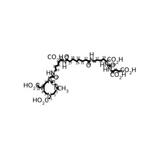 CN1CCN(CC(=O)O)CCN(CC(=O)O)CCN(CC(=O)NCCCC[C@H](NC(=O)CCCCCCC(=O)NCCCC[C@H](NC(=O)N[C@@H](CCC(=O)O)C(=O)O)C(=O)O)C(=O)O)CC1